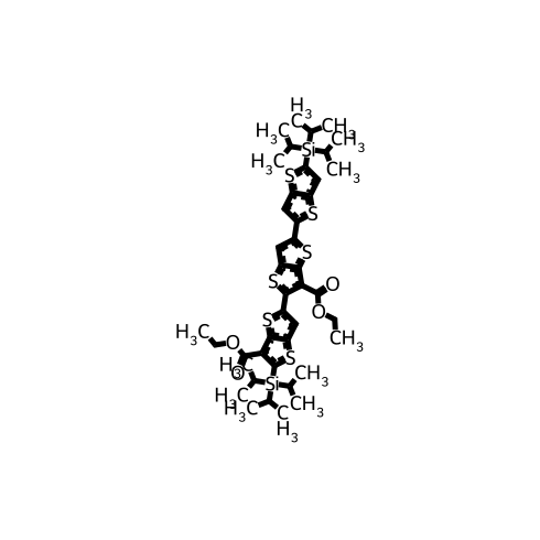 CCOC(=O)c1c(-c2cc3sc([Si](C(C)C)(C(C)C)C(C)C)c(C(=O)OCC)c3s2)sc2cc(-c3cc4sc([Si](C(C)C)(C(C)C)C(C)C)cc4s3)sc12